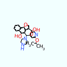 CC(C)Oc1cc(C(c2c(O)c3ccccc3c3occ(C(=O)O)c23)N2CCNCC2)ccn1